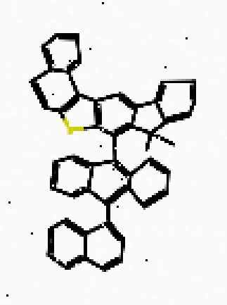 CC1(C)c2ccccc2-c2cc3c(sc4ccc5ccccc5c43)c(-c3c4ccccc4c(-c4cccc5ccccc45)c4ccccc34)c21